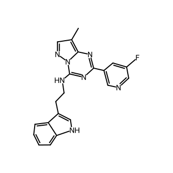 Cc1cnn2c(NCCc3c[nH]c4ccccc34)nc(-c3cncc(F)c3)nc12